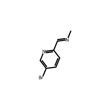 C/N=C/c1ccc(Br)cn1